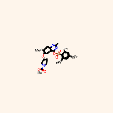 CCCc1cc(CCC)c(S(=O)(=O)Oc2nc(C)nc3cc(OC)c(O[C@@H]4CCN(C(=O)OC(C)(C)C)C4)cc23)c(CCC)c1